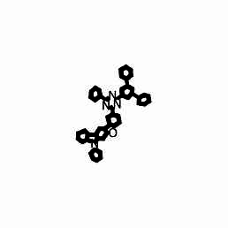 c1ccc(-c2cc(-c3ccccc3)cc(-c3nc(-c4ccccc4)nc(-c4ccc5oc6cc7c(cc6c5c4)c4ccccc4n7-c4ccccc4)n3)c2)cc1